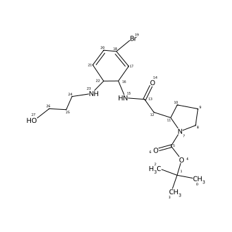 CC(C)(C)OC(=O)N1CCCC1CC(=O)NC1C=C(Br)C=CC1NCCCO